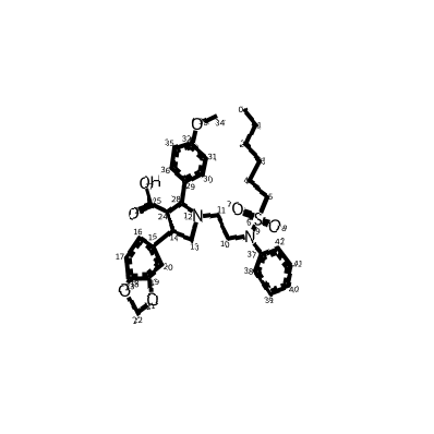 CCCCCCS(=O)(=O)N(CCN1CC(c2ccc3c(c2)OCO3)C(C(=O)O)C1c1ccc(OC)cc1)c1ccccc1